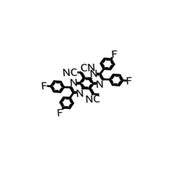 CC(C#N)=c1c2nc(-c3ccc(F)cc3)c(-c3ccc(F)cc3)nc2c(=C(C#N)C#N)c2nc(-c3ccc(F)cc3)c(-c3ccc(F)cc3)nc12